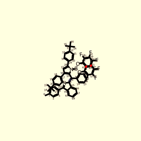 Cc1ccc(C2=N/C(=C(/c3ccccc3)c3c(-c4ccc(C(C)(C)C)cc4)cc(-c4ccc(C(C)(C)C)cc4)n3B(Oc3c(F)c(F)c(F)c(F)c3F)Oc3c(F)c(F)c(F)c(F)c3F)c3ccccc32)cc1